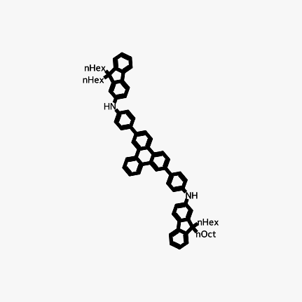 CCCCCCCCC1(CCCCCC)c2ccccc2-c2ccc(Nc3ccc(-c4ccc5c6ccc(-c7ccc(Nc8ccc9c(c8)C(CCCCCC)(CCCCCC)c8ccccc8-9)cc7)cc6c6ccccc6c5c4)cc3)cc21